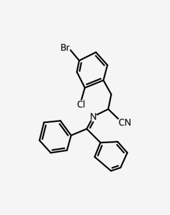 N#CC(Cc1ccc(Br)cc1Cl)N=C(c1ccccc1)c1ccccc1